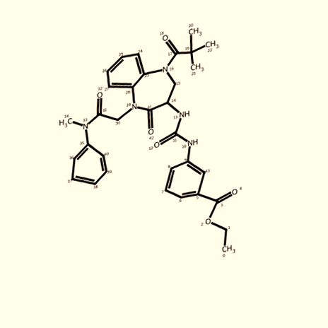 CCOC(=O)c1cccc(NC(=O)NC2CN(C(=O)C(C)(C)C)c3ccccc3N(CC(=O)N(C)c3ccccc3)C2=O)c1